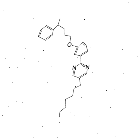 CCCCCCCc1cnc(-c2cccc(OCCCC(C)c3ccccc3)c2)nc1